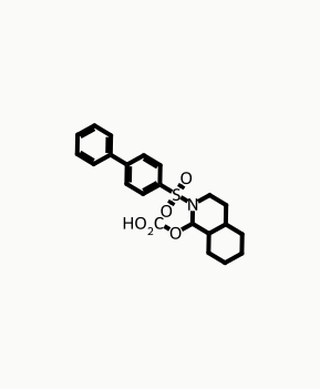 O=C(O)OC1C2CCCCC2CCN1S(=O)(=O)c1ccc(-c2ccccc2)cc1